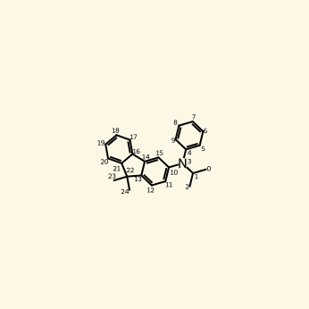 CC(C)N(c1ccccc1)c1ccc2c(c1)-c1ccccc1C2(C)C